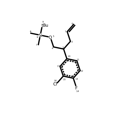 C=CCC(CO[Si](C)(C)C(C)(C)C)c1ccc(F)c(Cl)c1